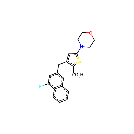 O=C(O)c1sc(N2CCOCC2)cc1Cc1cc(F)c2ccccc2c1